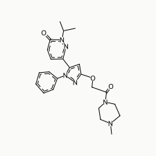 CC(C)n1nc(-c2cc(OCC(=O)N3CCN(C)CC3)nn2-c2ccccc2)ccc1=O